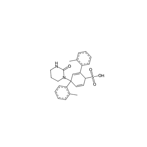 Cc1ccccc1C1=CC(c2ccccc2C)(N2CCCNC2=O)C=CC1S(=O)(=O)O